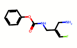 NC/C(=C\F)CNC(=O)Oc1ccccc1